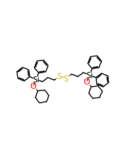 c1ccc([Si](CCCSSCCC[Si](OC2CCCCC2)(c2ccccc2)c2ccccc2)(OC2CCCCC2)c2ccccc2)cc1